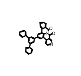 O=c1c2ccccc2c2cc(-c3cc(-c4ccccc4)cc(-c4ccccc4)c3)cc3c4ccncc4c(=O)n1c23